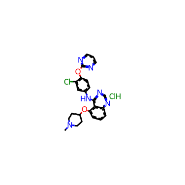 CN1CCC(Oc2cccc3ncnc(Nc4ccc(Oc5ncccn5)c(Cl)c4)c23)CC1.Cl